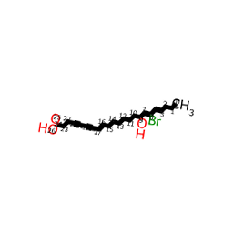 CCC/C=C/C(Br)=C/C(O)CCCCCC/C=C/C#CC#CCCC(=O)O